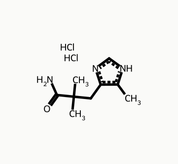 Cc1[nH]cnc1CC(C)(C)C(N)=O.Cl.Cl